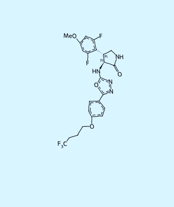 COc1cc(F)c([C@@H]2CNC(=O)[C@H]2Nc2nnc(-c3ccc(OCCCC(F)(F)F)cc3)o2)c(F)c1